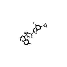 Cc1ccc2cccc(S(=O)(=O)NC(=O)c3cc4c(F)cc(N5CCC5)cc4o3)c2n1